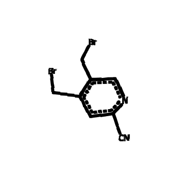 N#Cc1cc(CBr)c(CBr)cn1